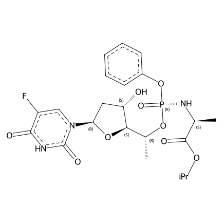 CC(C)OC(=O)[C@H](C)N[P@](=O)(Oc1ccccc1)O[C@H](C)[C@H]1O[C@@H](n2cc(F)c(=O)[nH]c2=O)C[C@@H]1O